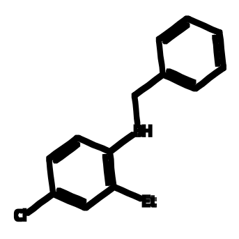 CCc1cc(Cl)ccc1BCc1ccccc1